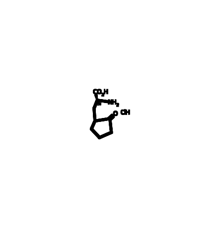 Cl.N[C@@H](CC1CCCC1=O)C(=O)O